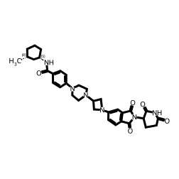 C[C@@H]1CCC[C@H](NC(=O)c2ccc(N3CCN(C4CN(c5ccc6c(c5)C(=O)N(C5CCC(=O)NC5=O)C6=O)C4)CC3)cc2)C1